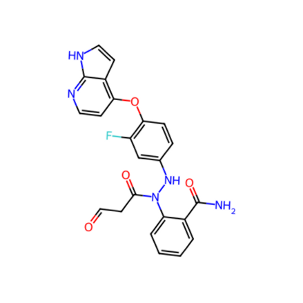 NC(=O)c1ccccc1N(Nc1ccc(Oc2ccnc3[nH]ccc23)c(F)c1)C(=O)CC=O